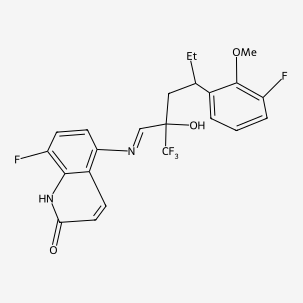 CCC(CC(O)(/C=N/c1ccc(F)c2[nH]c(=O)ccc12)C(F)(F)F)c1cccc(F)c1OC